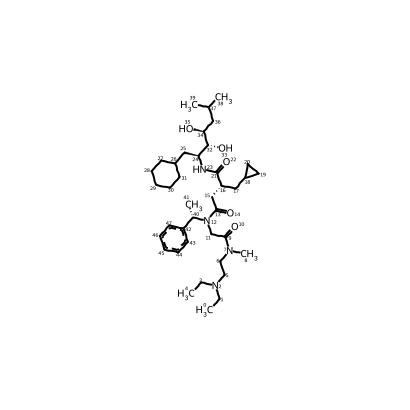 CCN(CC)CCN(C)C(=O)CN(C(=O)C[C@@H](CC1CC1)C(=O)N[C@@H](CC1CCCCC1)[C@@H](O)[C@@H](O)CC(C)C)[C@@H](C)c1ccccc1